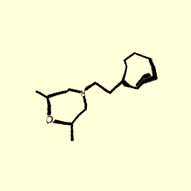 CC1CN(CCC2C=C[CH]CC2)CC(C)O1